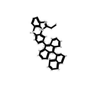 CCc1nc2cccc3c2n1-c1cc(-c2c4ccccc4c(-c4cccc5ccccc45)c4ccccc24)ccc1S3